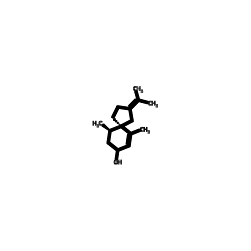 CC1=CC(O)C[C@@H](C)[C@]12CCC(=C(C)C)C2